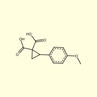 COc1ccc(C2CC2(C(=O)O)C(=O)O)cc1